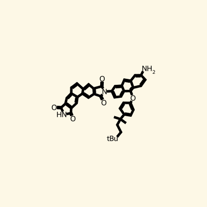 CC(C)(C)CCC(C)(C)c1ccc(Oc2c3ccc(N)cc3cc3cc(-n4c(=O)c5cc6ccc7cc8c(=O)[nH]c(=O)c8cc7c6cc5c4=O)ccc23)cc1